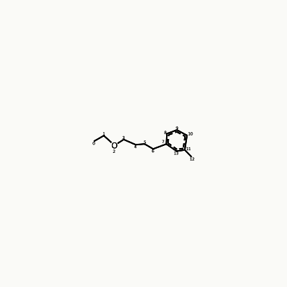 CCOCCCCc1cccc(C)c1